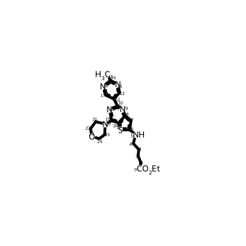 CCOC(=O)CCCCNc1cc2nc(-c3cnc(C)nc3)nc(N3CCOCC3)c2s1